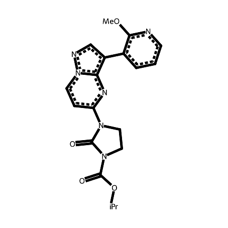 COc1ncccc1-c1cnn2ccc(N3CCN(C(=O)OC(C)C)C3=O)nc12